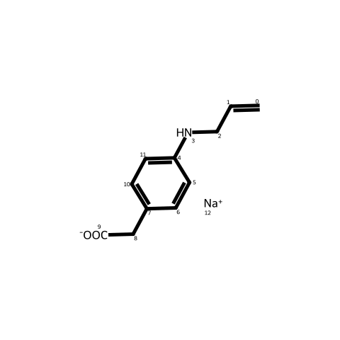 C=CCNc1ccc(CC(=O)[O-])cc1.[Na+]